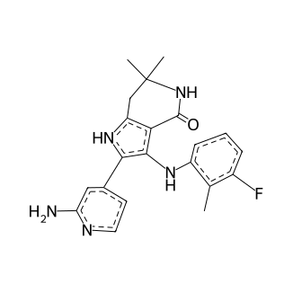 Cc1c(F)cccc1Nc1c(-c2ccnc(N)c2)[nH]c2c1C(=O)NC(C)(C)C2